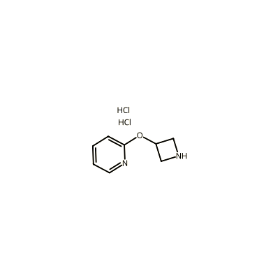 Cl.Cl.c1ccc(OC2CNC2)nc1